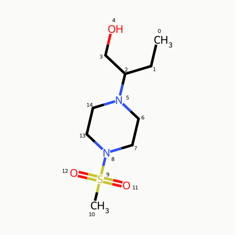 CCC(CO)N1CCN(S(C)(=O)=O)CC1